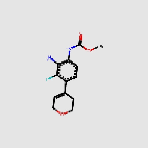 CC(C)(C)OC(=O)Nc1ccc(C2=CCOCC2)c(F)c1N